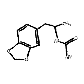 CCCC(=O)NC(C)Cc1ccc2c(c1)OCO2